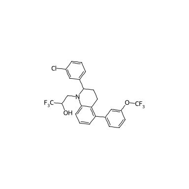 OC(CN1c2cccc(-c3cccc(OC(F)(F)F)c3)c2CCC1c1cccc(Cl)c1)C(F)(F)F